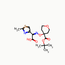 Cc1nc(/C(=N/OC2(C(=O)OC(C)(C)C)CCOCC2)C(=O)O)cs1